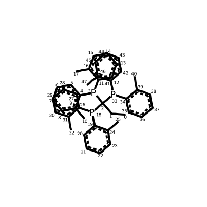 CCC(P(c1ccccc1C)c1ccccc1C)(P(c1ccccc1C)c1ccccc1C)P(c1ccccc1C)c1ccccc1C